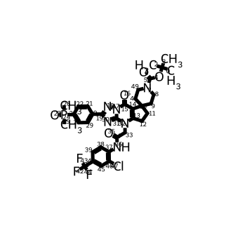 CC(C)(C)OC(=O)N1CCC2(CCc3c2c(=O)n2nc(-c4ccc(P(C)(C)=O)cc4)nc2n3CC(=O)Nc2ccc(C(F)(F)F)cc2Cl)CC1